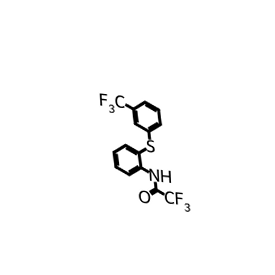 O=C(Nc1ccccc1Sc1cccc(C(F)(F)F)c1)C(F)(F)F